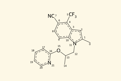 Cc1cc2c(C(F)(F)F)c(C#N)ccc2n1CC(C)Oc1ccccn1